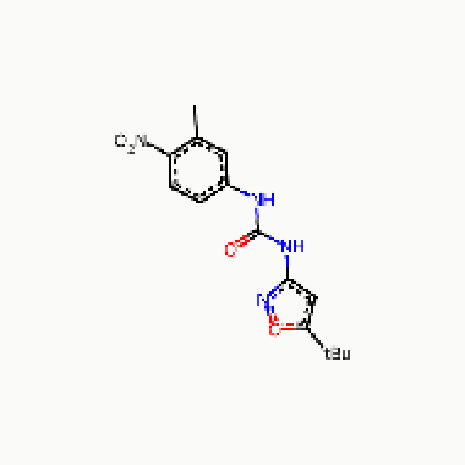 Cc1cc(NC(=O)Nc2cc(C(C)(C)C)on2)ccc1[N+](=O)[O-]